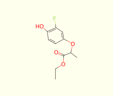 CCOC(=O)C(C)Oc1ccc(O)c(F)c1